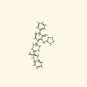 O=c1c(OC2CCCC2)c(N2CCN(S(=O)(=O)Cc3ccccn3)CC2)cnn1-c1ccccc1